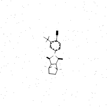 C[C@@]12O[C@@](C)(C[C@@H]1O)[C@@H]1C(=O)N(c3ccc(C#N)c(C(F)(F)F)c3)C(=O)[C@@H]12